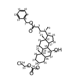 C[C@H](CCC(=O)OCc1ccccc1)C1CCC2C3C(CC[C@@]21C)[C@@]1(C)CC[C@@H](OC(=O)OCCl)CC1C[C@@H]3O